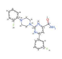 NC(=O)c1cc(-c2cccc(F)c2)nc(N2CCN(c3ccccc3F)CC2)n1